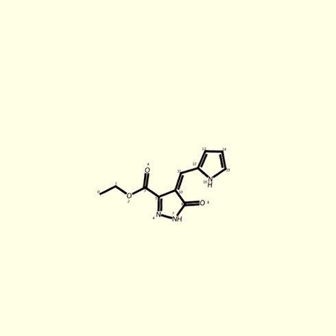 CCOC(=O)C1=NNC(=O)C1=Cc1ccc[nH]1